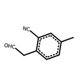 Cc1ccc(CC=O)c(C#N)c1